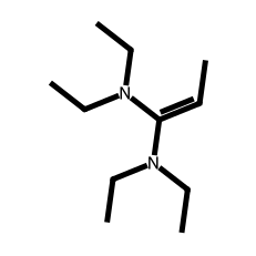 CC=C(N(CC)CC)N(CC)CC